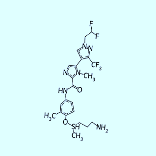 Cc1cc(NC(=O)c2ncc(-c3cn(CC(F)F)nc3C(F)(F)F)n2C)ccc1O[SH](C)CCCN